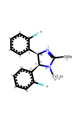 CSC1=N[C@H](c2ccccc2F)[C@H](c2ccccc2F)N1C(=O)O